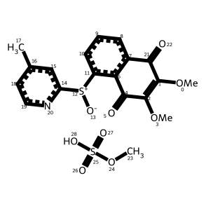 COC1=C(OC)C(=O)c2c(cccc2[S+]([O-])c2cc(C)ccn2)C1=O.COS(=O)(=O)O